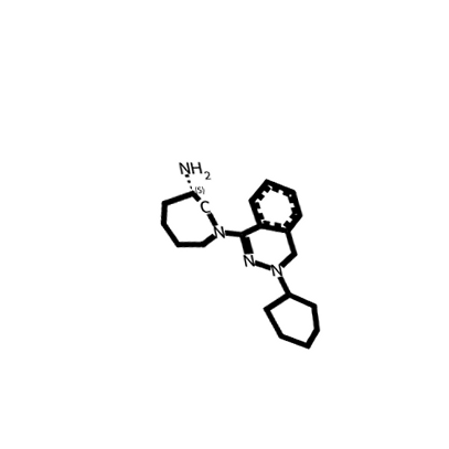 N[C@H]1CCCCN(C2=NN(C3CCCCC3)Cc3ccccc32)C1